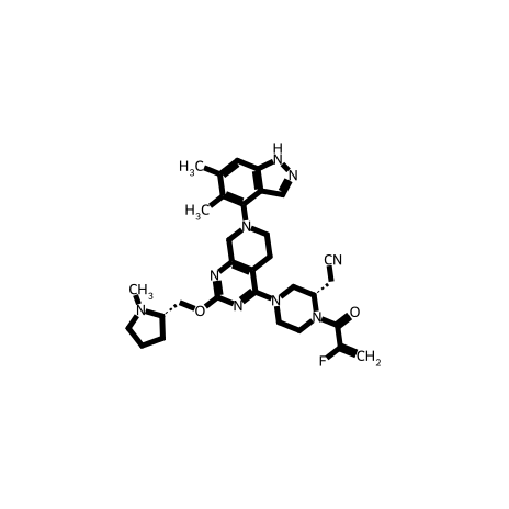 C=C(F)C(=O)N1CCN(c2nc(OC[C@@H]3CCCN3C)nc3c2CCN(c2c(C)c(C)cc4[nH]ncc24)C3)C[C@@H]1CC#N